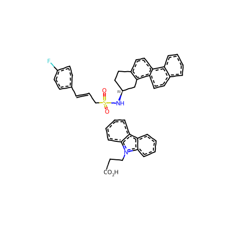 O=C(O)CCn1c2ccccc2c2ccccc21.O=S(=O)(CC=Cc1ccc(F)cc1)N[C@H]1CCc2ccc3c(ccc4ccccc43)c2C1